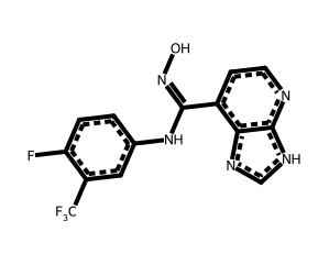 O/N=C(/Nc1ccc(F)c(C(F)(F)F)c1)c1ccnc2[nH]cnc12